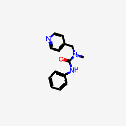 CN(Cc1ccncc1)C(=O)Nc1ccccc1